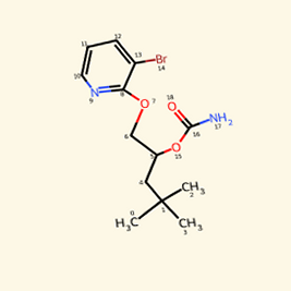 CC(C)(C)CC(COc1ncccc1Br)OC(N)=O